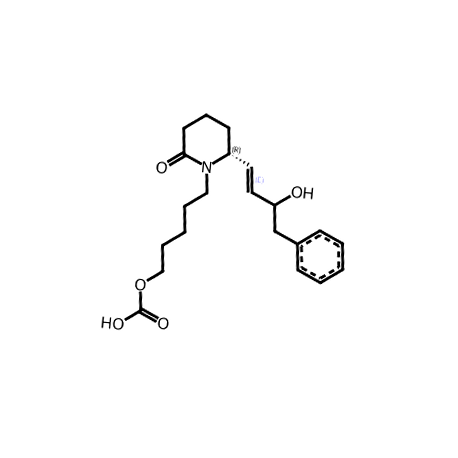 O=C(O)OCCCCCN1C(=O)CCC[C@@H]1/C=C/C(O)Cc1ccccc1